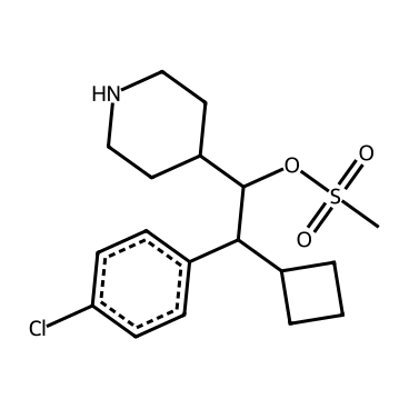 CS(=O)(=O)OC(C1CCNCC1)C(c1ccc(Cl)cc1)C1CCC1